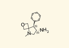 CN1C[C@@H](N)[C@H](c2ccccc2)C12COC2